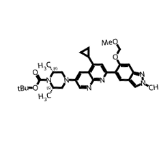 COCOc1cc2nn(C)cc2cc1-c1cc(C2CC2)c2cc(N3C[C@@H](C)N(C(=O)OC(C)(C)C)[C@@H](C)C3)cnc2n1